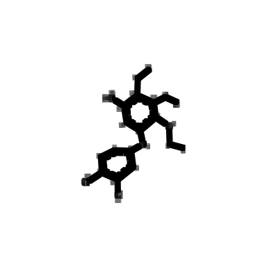 CCOc1c(Oc2ccc(Cl)c(Cl)c2)cc(O)c(CC)c1CC